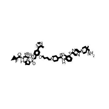 Cc1ncsc1-c1ccc(CNC(=O)[C@@H]2CCCN2C(=O)[C@@H](NC(=O)C2(F)CC2)C(C)(C)C)c(OCCCCN2CCC(C(=O)Nc3cccc(Sc4cnc(N5CCC(C)(CN)CC5)cn4)c3Cl)CC2)c1